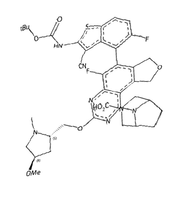 CO[C@@H]1C[C@@H](COc2nc(N3C4CCC3CN(C(=O)O)C4)c3c4c(c(-c5c(F)ccc6sc(NC(=O)OC(C)(C)C)c(C#N)c56)c(F)c3n2)COC4)N(C)C1